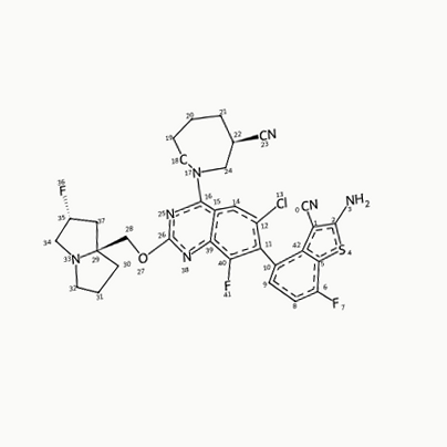 N#Cc1c(N)sc2c(F)ccc(-c3c(Cl)cc4c(N5CCCC[C@@H](C#N)C5)nc(OC[C@@]56CCCN5C[C@H](F)C6)nc4c3F)c12